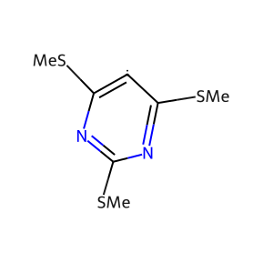 CSc1[c]c(SC)nc(SC)n1